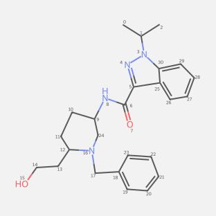 CC(C)n1nc(C(=O)NC2CCC(CCO)N(Cc3ccccc3)C2)c2ccccc21